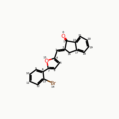 O=C1/C(=C/c2ccc(-c3ccccc3Br)o2)Cc2ccccc21